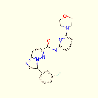 O=C(Nc1cccc(N2CCOCC2)n1)c1ccc2ncc(-c3cccc(F)c3)n2n1